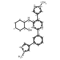 Cn1cc(-c2cccc(-c3ncc(-c4cnn(C)c4)c(NC4CCCCC4O)n3)c2)cn1